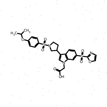 CC(C)Oc1ccc(S(=O)(=O)N2CCC(c3cn(CC(=O)O)c4cc(S(=O)(=O)c5ncco5)ccc34)C2)cc1